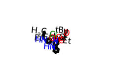 C=CCC(CC)(CC)Nc1ccc([C@H]2c3[nH]c4ccccc4c3C[C@H](C(=O)OC(C)(CC)CCOC(C)(C)C)N2C(=O)CCl)cc1